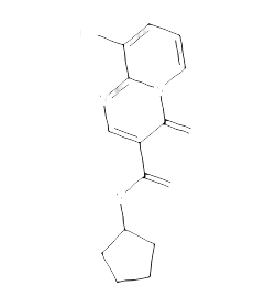 Cc1cccn2c(=O)c(C(=O)NC3CCCC3)cnc12